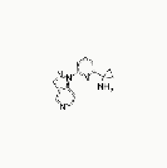 NC1(c2cccc(-n3ncc4cnccc43)n2)CC1